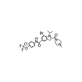 CC(C)N1c2c(Br)cc(C(=O)Nc3ccc(OC(F)(F)Cl)cc3)cc2CC1C(=O)N1CCN(C)CC1